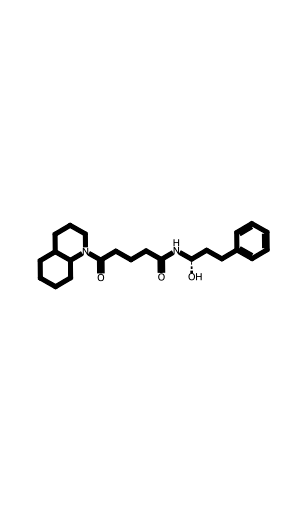 O=C(CCCC(=O)N1CCCC2CCCCC21)N[C@@H](O)CCc1ccccc1